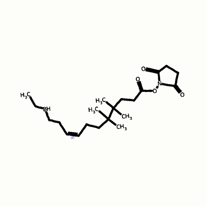 CCBCC/C=C\CCC(C)(C)C(C)(C)CCC(=O)ON1C(=O)CCC1=O